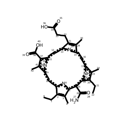 CCC1=C(C)c2nc1cc1[nH]c(cc3nc(cc4[nH]c(c(CC)c4C)c2C(N)=O)C(C)=C3CCC(=O)O)c(C(=O)O)c1C